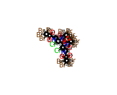 O=C1c2c(Br)c(Br)c(Br)c(Br)c2C(=O)C1c1ccc2c(n1)C(Cl)=CC(Cc1cc(Cl)c3nc(C4C(=O)c5c(Br)c(Br)c(Br)c(Br)c5C4=O)ccc3c1N1C(=O)c3c(Br)c(Br)c(Br)c(Br)c3C1=O)C2N1C(=O)c2c(Br)c(Br)c(Br)c(Br)c2C1=O